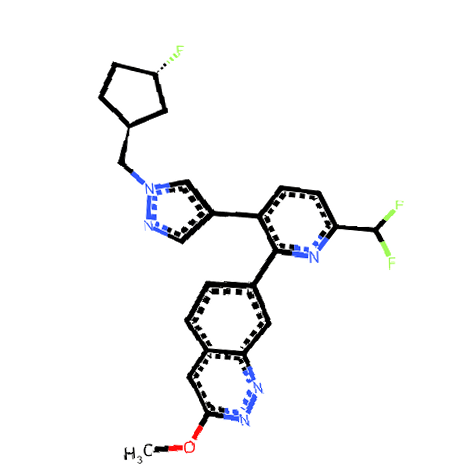 COc1cc2ccc(-c3nc(C(F)F)ccc3-c3cnn(C[C@H]4CC[C@H](F)C4)c3)cc2nn1